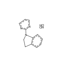 Cl.Cl.c1cnc(N2CCc3ccccc32)nc1